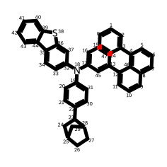 c1ccc(-c2cccc3cccc(-c4cccc(N(c5ccc(C6CC7CCC6C7)cc5)c5ccc6c(c5)sc5ccccc56)c4)c23)cc1